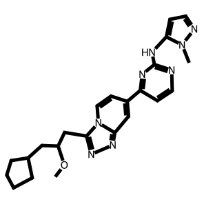 COC(Cc1nnc2cc(-c3ccnc(Nc4ccnn4C)n3)ccn12)CC1CCCC1